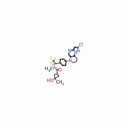 CN(C(=O)C1CC(C)(O)C1)[C@@H](c1ccc(N2CCCc3c2cnc2cc(Cl)nn32)cc1)C(F)(F)F